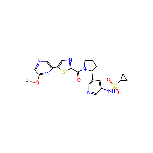 CCOc1cncc(-c2cnc(C(=O)N3CCC[C@H]3c3cncc(NS(=O)(=O)C4CC4)c3)s2)n1